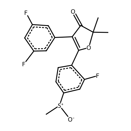 C[S+]([O-])c1ccc(C2=C(c3cc(F)cc(F)c3)C(=O)C(C)(C)O2)c(F)c1